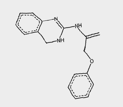 C=C(COc1ccccc1)NC1=Nc2ccccc2CN1